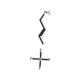 CC=CC[PH3+].F[B-](F)(F)F